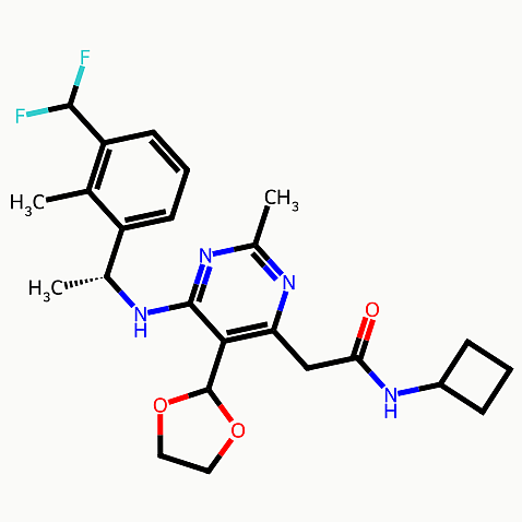 Cc1nc(CC(=O)NC2CCC2)c(C2OCCO2)c(N[C@H](C)c2cccc(C(F)F)c2C)n1